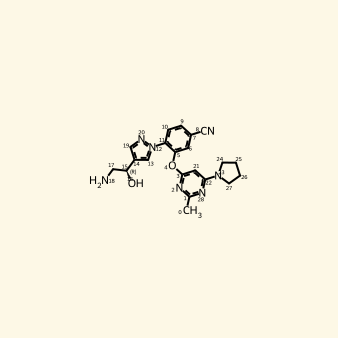 Cc1nc(Oc2cc(C#N)ccc2-n2cc([C@@H](O)CN)cn2)cc(N2CCCC2)n1